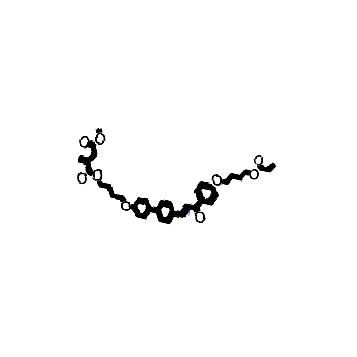 C=CC(=O)OCCCCOc1ccc(C(=O)/C=C/c2ccc(-c3ccc(OCCCCOC(=O)C(=C)CC(=O)OC)cc3)cc2)cc1